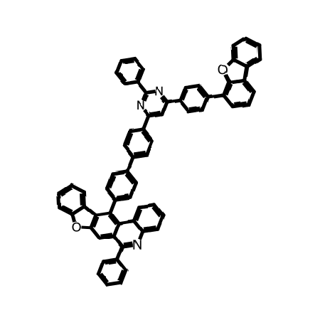 c1ccc(-c2nc(-c3ccc(-c4ccc(-c5c6c(cc7c(-c8ccccc8)nc8ccccc8c57)oc5ccccc56)cc4)cc3)cc(-c3ccc(-c4cccc5c4oc4ccccc45)cc3)n2)cc1